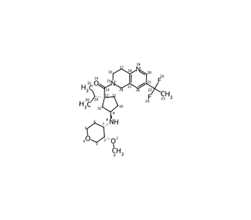 CO[C@@H]1COCC[C@@H]1N[C@@H]1CC[C@@](C(=O)N2CCc3ncc(C(C)(F)F)cc3C2)(C(C)C)C1